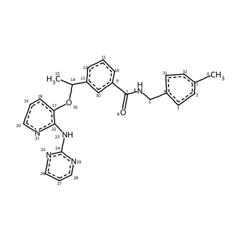 Cc1ccc(CNC(=O)c2cccc(C(C)Oc3cccnc3Nc3ncccn3)c2)cc1